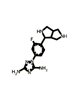 Nc1nc(N)n(-c2ccc(C3NCC4CNCC43)c(F)c2)n1